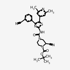 Cc1cc(-c2sc(NC(=O)N3CCN(C(=O)OC(C)(C)C)C(C#N)C3)nc2-c2cccc(C#N)c2)cc(C)n1